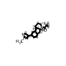 Cn1cc(-c2ccc3c(c2)[C@H]2CCCN(C(=O)C(F)(F)F)[C@H]2C3)cn1